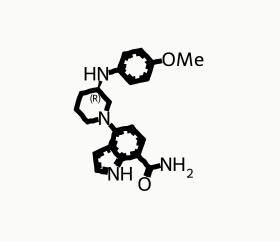 COc1ccc(N[C@@H]2CCCN(c3ccc(C(N)=O)c4[nH]ccc34)C2)cc1